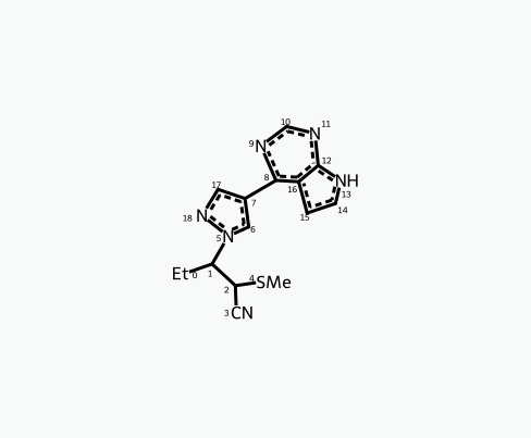 CCC(C(C#N)SC)n1cc(-c2ncnc3[nH]ccc23)cn1